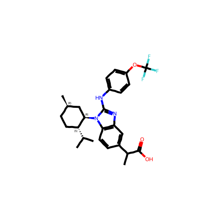 CC(C(=O)O)c1ccc2c(c1)nc(Nc1ccc(OC(F)(F)F)cc1)n2[C@@H]1C[C@H](C)CC[C@H]1C(C)C